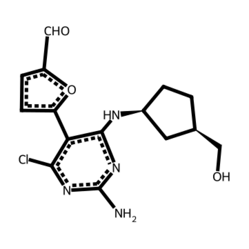 Nc1nc(Cl)c(-c2ccc(C=O)o2)c(N[C@H]2CC[C@@H](CO)C2)n1